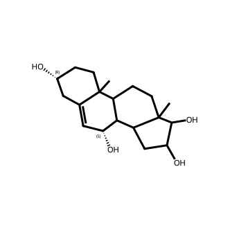 CC12CC[C@@H](O)CC1=C[C@@H](O)C1C2CCC2(C)C(O)C(O)CC12